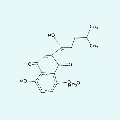 CC(C)=CC[C@@H](O)C1=CC(=O)c2c(O)ccc(O)c2C1=O.O